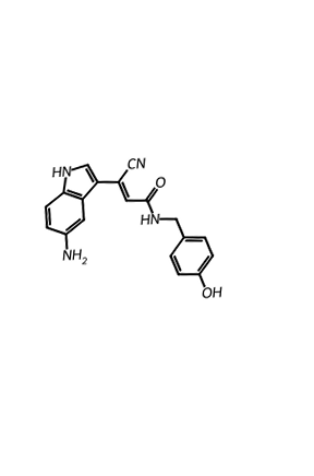 N#CC(=CC(=O)NCc1ccc(O)cc1)c1c[nH]c2ccc(N)cc12